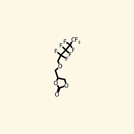 O=C1OCC(COCC(F)(F)C(F)(F)C(F)(F)C(F)(F)F)O1